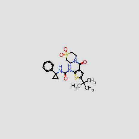 CC(C)(C)c1cc(C(=O)N2CCS(=O)(=O)CC2)c(NC(=O)NC2(c3ccccc3)CC2)s1